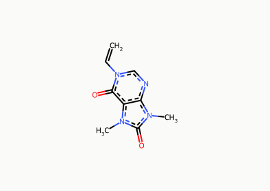 C=Cn1cnc2c(c1=O)n(C)c(=O)n2C